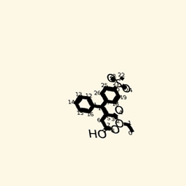 CCOC(=O)/C(CC(=O)O)=C(/c1ccccc1)c1ccc(S(C)(=O)=O)cc1